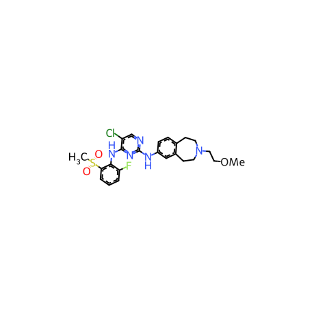 COCCN1CCc2ccc(Nc3ncc(Cl)c(Nc4c(F)cccc4S(C)(=O)=O)n3)cc2CC1